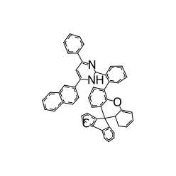 C1=CCC2C(=C1)Oc1c(-c3ccccc3C3N=C(c4ccccc4)C=C(c4ccc5ccccc5c4)N3)cccc1C21c2ccccc2-c2ccccc21